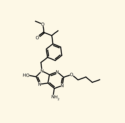 CCCCOc1nc(N)c2nc(O)n(Cc3cccc(C(C)C(=O)OC)c3)c2n1